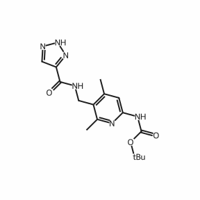 Cc1cc(NC(=O)OC(C)(C)C)nc(C)c1CNC(=O)c1cn[nH]n1